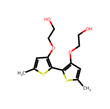 Cc1cc(OCCO)c(-c2sc(C)cc2OCCO)s1